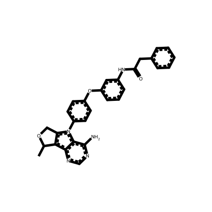 CC1OCc2c1c1ncnc(N)c1n2-c1ccc(Oc2cccc(NC(=O)Cc3ccccc3)c2)cc1